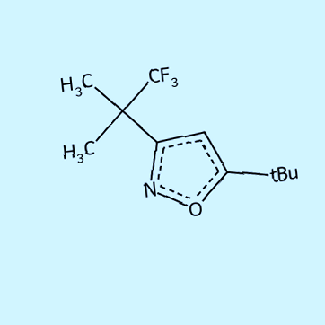 CC(C)(C)c1cc(C(C)(C)C(F)(F)F)no1